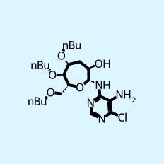 CCCCOC[C@H]1O[C@@H](Nc2ncnc(Cl)c2N)[C@H](O)C[C@@H](OCCCC)[C@@H]1OCCCC